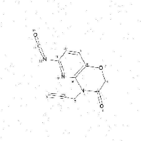 C#CCN1C(=O)COc2ccc(N=C=O)nc21